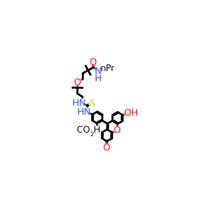 CCCNC(=O)C(C)(C)CCOC(C)(C)CCNC(=S)Nc1ccc(-c2c3ccc(=O)cc-3oc3cc(O)ccc23)c(C(=O)O)c1